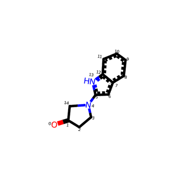 O=C1CCN(c2cc3ccccc3[nH]2)C1